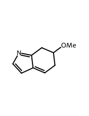 COC1CC=C2C=CN=C2C1